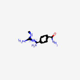 C=N/C(N)=N\N=C(/N)c1ccc(C(N)=O)cc1